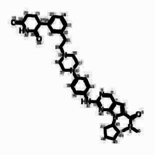 CN(C)C(=O)c1cc2cnc(Nc3ccc(N4CCN(CCc5cccc(C6CCC(=O)NC6=O)c5)CC4)cc3)nc2n1C1CCCC1